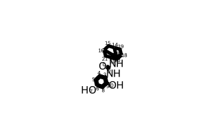 O=C(Nc1ccc(O)cc1O)NC12CC3CC(CC(C3)C1)C2